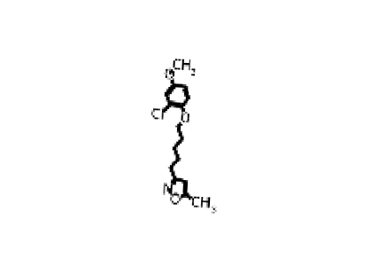 COc1ccc(OCCCCCc2cc(C)on2)c(Cl)c1